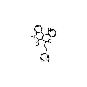 O=C(CCc1cccnc1)c1c(-c2ccccn2)c2ccccc2[nH]c1=O